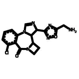 NCc1nc(C2N=CN3c4cccc(Cl)c4C(=O)N4CCC4C23)no1